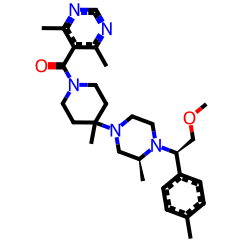 COC[C@@H](c1ccc(C)cc1)N1CCN(C2(C)CCN(C(=O)c3c(C)ncnc3C)CC2)C[C@@H]1C